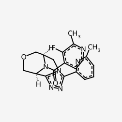 Cc1cccc(-c2nnc3n2C[C@@H]2COC[C@H]3N2C(=O)c2ccnc(C)c2F)n1